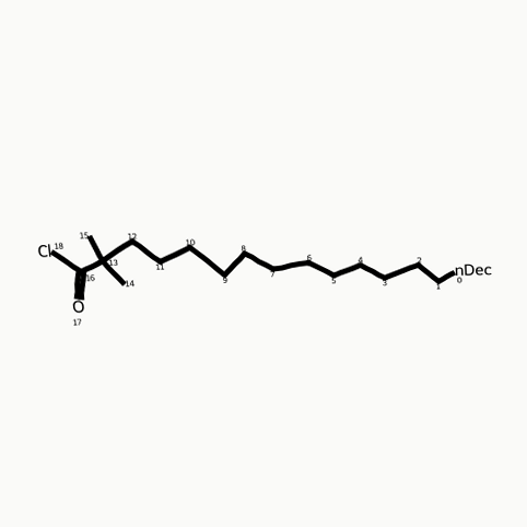 CCCCCCCCCCCCCCCCCCCCCCC(C)(C)C(=O)Cl